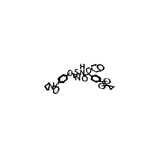 O=C(Nc1ncc(Oc2ccc(C(=O)N3CCC3)cc2)s1)C(OC1CCOCC1)c1ccc(S(=O)(=O)C2CC2)cc1